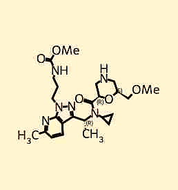 COC[C@@H]1CNC[C@H](C(=O)N(C2CC2)[C@H](C)c2nn(CCCNC(=O)OC)c3nc(C)ccc23)O1